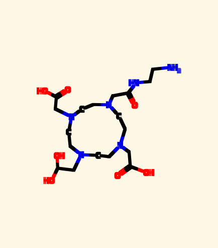 NCCNC(=O)CN1CCN(CC(=O)O)CCN(CC(O)O)CCN(CC(=O)O)CC1